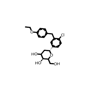 CCOc1ccc(Cc2cc([C@H]3CC(O)[C@H](O)C(CO)O3)ccc2Cl)cc1